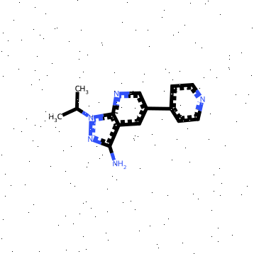 CC(C)n1nc(N)c2cc(-c3ccncc3)cnc21